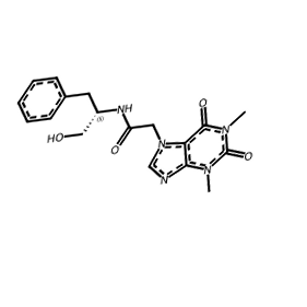 Cn1c(=O)c2c(ncn2CC(=O)N[C@H](CO)Cc2ccccc2)n(C)c1=O